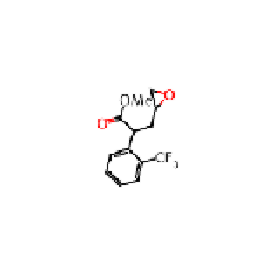 COC(=O)C(CC1CO1)c1ccccc1C(F)(F)F